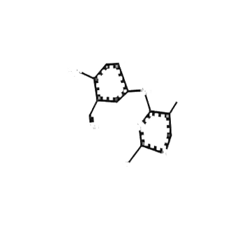 Cc1cnc(Cl)nc1Nc1ccc(N)c(C=N)c1